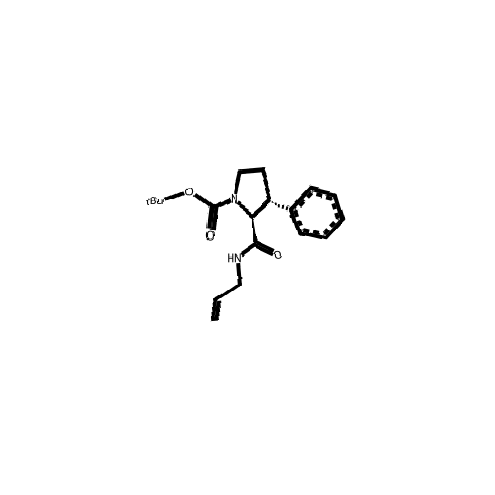 C=CCNC(=O)[C@@H]1[C@@H](c2ccccc2)CCN1C(=O)OC(C)(C)C